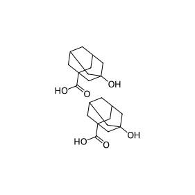 O=C(O)C12CC3CC(CC(O)(C3)C1)C2.O=C(O)C12CC3CC(CC(O)(C3)C1)C2